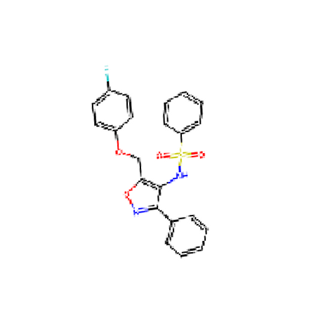 O=S(=O)(Nc1c(-c2ccccc2)noc1COc1ccc(F)cc1)c1ccccc1